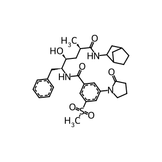 C[C@H](C[C@H](O)[C@H](Cc1ccccc1)NC(=O)c1cc(N2CCCC2=O)cc(S(C)(=O)=O)c1)C(=O)NC1CC2CCC1C2